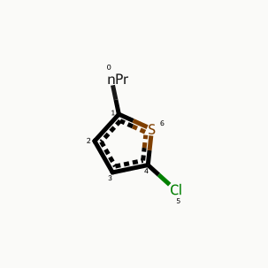 CCCc1ccc(Cl)s1